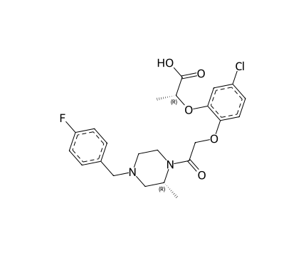 C[C@@H]1CN(Cc2ccc(F)cc2)CCN1C(=O)COc1ccc(Cl)cc1O[C@H](C)C(=O)O